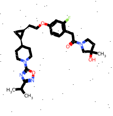 CC(C)c1noc(N2CCC([C@H]3C[C@H]3CCOc3ccc(CC(=O)N4CCC(C)(O)C4)c(F)c3)CC2)n1